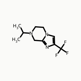 CC(C)N1CCn2cc(C(F)(F)F)nc2C1